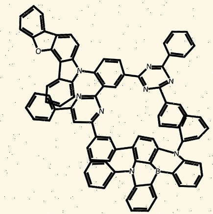 c1ccc(-c2cc(-c3cccc(-c4ccc5c6c4N(c4ccccc4)c4ccccc4B6c4ccccc4N5c4ccccc4)c3)nc(-c3cc(-c4nc(-c5ccccc5)nc(-c5ccccc5)n4)ccc3-n3c4ccccc4c4c5oc6ccccc6c5ccc43)n2)cc1